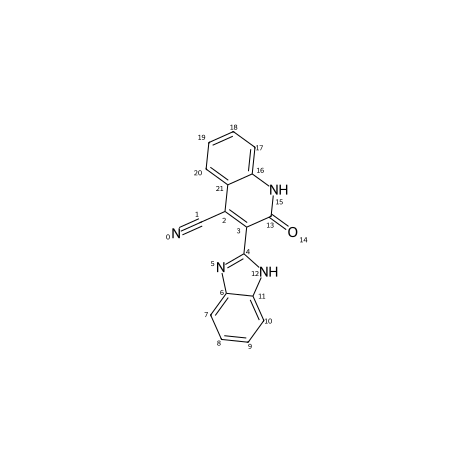 N#Cc1c(-c2nc3ccccc3[nH]2)c(=O)[nH]c2ccccc12